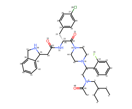 CCC(CC)CN(CC(c1ccccc1F)N1CCN(C(=O)[C@@H](Cc2ccc(Cl)cc2)NC(=O)CC2NCc3ccccc32)CC1)C(C)=O